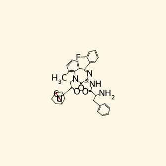 Cc1cccc2c1N(CC(=O)N1CC3CCC(CC3)C1)C(=O)[C@@H](NC(=O)C(N)Cc1ccccc1)N=C2c1ccccc1F